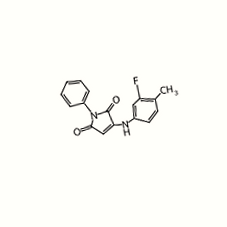 Cc1ccc(NC2=CC(=O)N(c3ccccc3)C2=O)cc1F